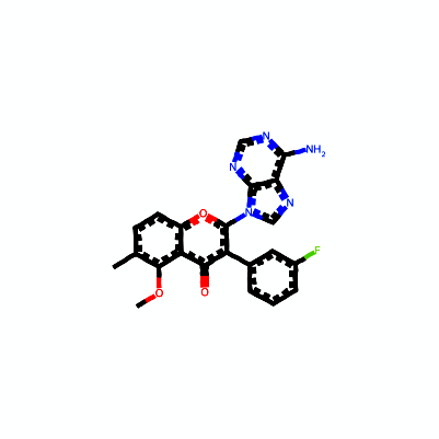 COc1c(C)ccc2oc(-n3cnc4c(N)ncnc43)c(-c3cccc(F)c3)c(=O)c12